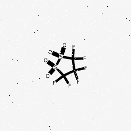 O=S1(=O)C(F)(F)C(F)(F)C(F)(F)S1(=O)=O